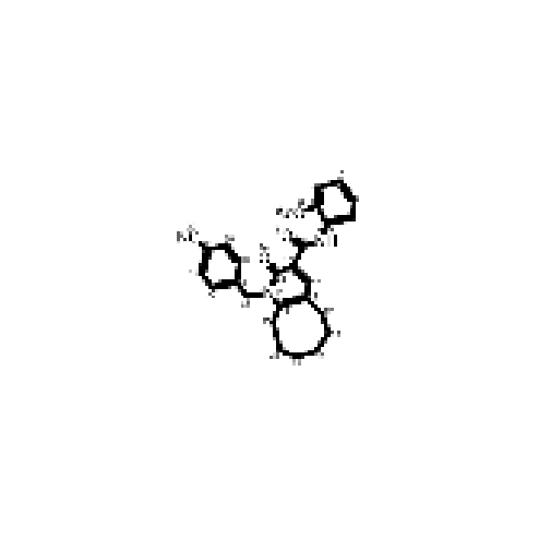 CC(=O)Oc1ccccc1NC(=O)c1cc2c(n(Cc3ccc(C#N)cc3)c1=O)CCCCCC2